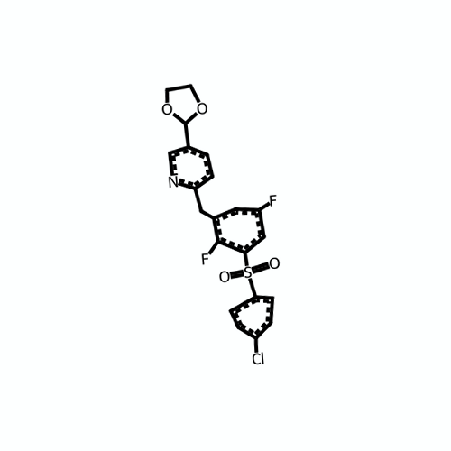 O=S(=O)(c1ccc(Cl)cc1)c1cc(F)cc(Cc2ccc(C3OCCO3)cn2)c1F